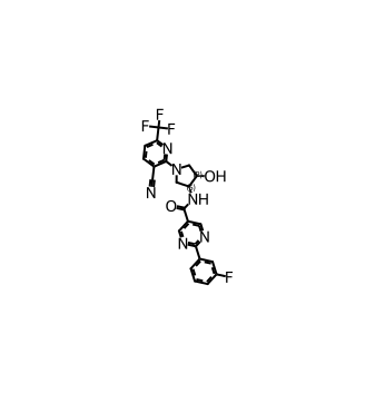 N#Cc1ccc(C(F)(F)F)nc1N1C[C@@H](O)[C@@H](NC(=O)c2cnc(-c3cccc(F)c3)nc2)C1